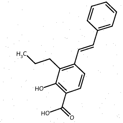 CCCc1c(C=Cc2ccccc2)ccc(C(=O)O)c1O